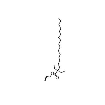 C=CCOC(=O)C(CC)(CC)CCCCCCCCCCCCCCCC